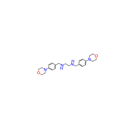 c1cc(N2CCOCC2)ccc1CNCCNCc1ccc(N2CCOCC2)cc1